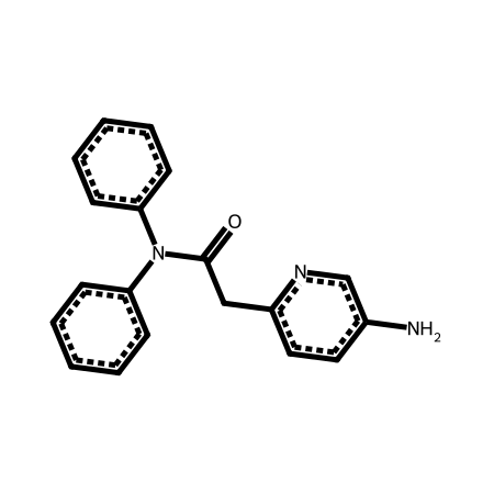 Nc1ccc(CC(=O)N(c2ccccc2)c2ccccc2)nc1